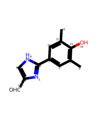 Cc1cc(-c2nc(C=O)c[nH]2)cc(C)c1O